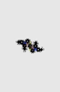 CC(C)(C)c1ccc2c(c1)c1cc(C(C)(C)C)cc3c1n2-c1cccc2c1B3c1cc3c(cc1S2)B1c2c(cccc2-n2c4ccc(C(C)(C)C)cc4c4cc(C(C)(C)C)cc1c42)S3